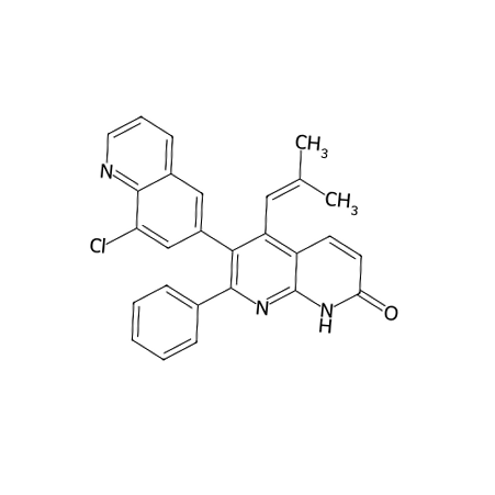 CC(C)=Cc1c(-c2cc(Cl)c3ncccc3c2)c(-c2ccccc2)nc2[nH]c(=O)ccc12